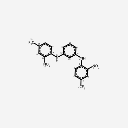 O=[N+]([O-])c1cc(C(F)(F)F)ccc1Nc1cccc(Nc2ccc(C(F)(F)F)cc2[N+](=O)[O-])c1